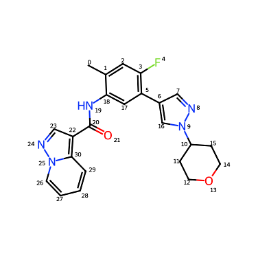 Cc1cc(F)c(-c2cnn(C3CCOCC3)c2)cc1NC(=O)c1cnn2ccccc12